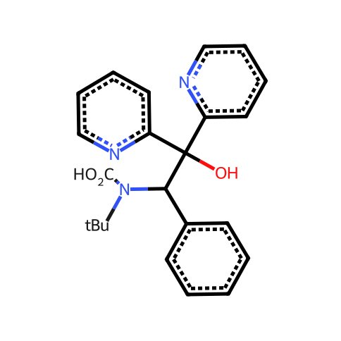 CC(C)(C)N(C(=O)O)C(c1ccccc1)C(O)(c1ccccn1)c1ccccn1